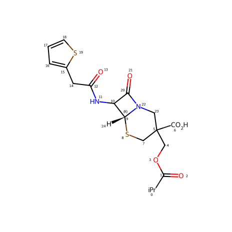 CC(C)C(=O)OCC1(C(=O)O)CS[C@@H]2C(NC(=O)Cc3cccs3)C(=O)N2C1